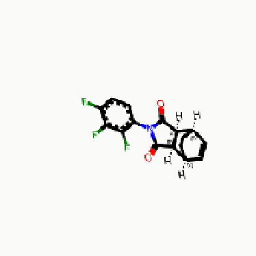 O=C1[C@@H]2[C@H](C(=O)N1c1ccc(F)c(F)c1F)[C@@H]1C=C[C@H]2CC1